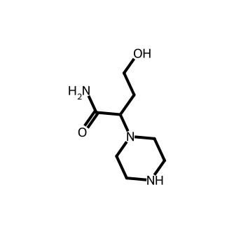 NC(=O)C(CCO)N1CCNCC1